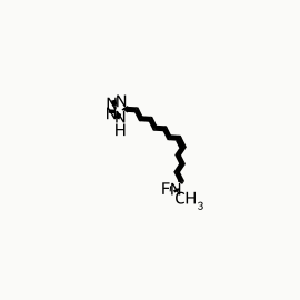 CN(F)CCCC/C=C\CCCCCCc1nnn[nH]1